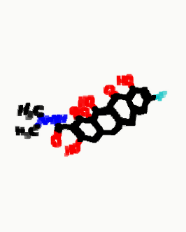 CN(C)NC(=O)C1=C(O)CC2CC3Cc4cc(F)cc(O)c4C(=O)C3=C(O)C2(O)C1=O